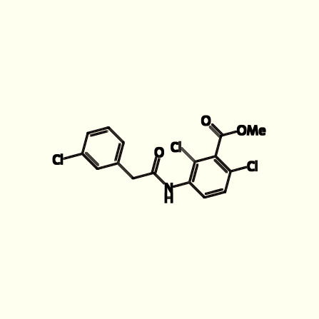 COC(=O)c1c(Cl)ccc(NC(=O)Cc2cccc(Cl)c2)c1Cl